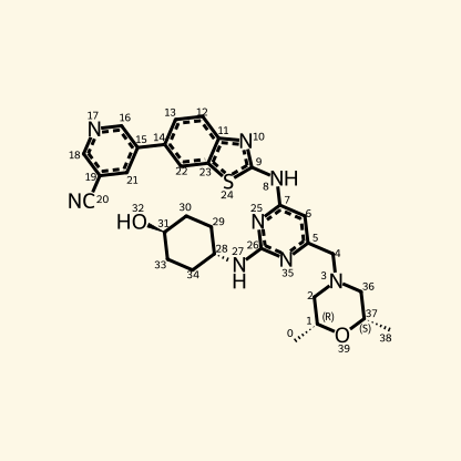 C[C@@H]1CN(Cc2cc(Nc3nc4ccc(-c5cncc(C#N)c5)cc4s3)nc(N[C@H]3CC[C@H](O)CC3)n2)C[C@H](C)O1